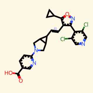 O=C(O)c1ccc(N2CC3C(/C=C/c4c(-c5c(Cl)cncc5Cl)noc4C4CC4)C3C2)nc1